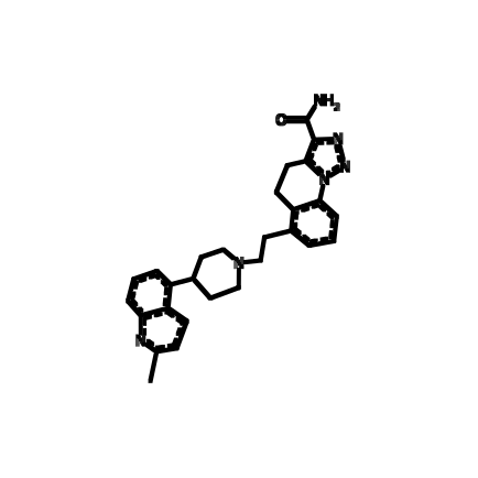 Cc1ccc2c(C3CCN(CCc4cccc5c4CCc4c(C(N)=O)nnn4-5)CC3)cccc2n1